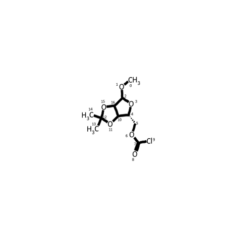 COC1O[C@H](COC(=O)Cl)C2OC(C)(C)OC12